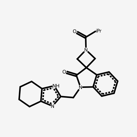 CC(C)C(=O)N1CC2(C1)C(=O)N(Cc1nc3c([nH]1)CCCC3)c1ccccc12